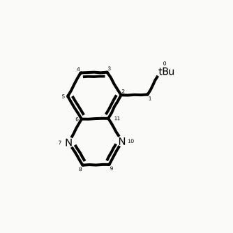 CC(C)(C)Cc1cccc2nccnc12